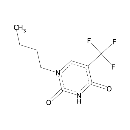 CCCCn1cc(C(F)(F)F)c(=O)[nH]c1=O